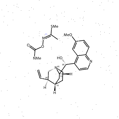 C=C[C@H]1C[N@]2CC[C@H]1C[C@H]2[C@H](O)c1ccnc2ccc(OC)cc12.CNC(=O)O/N=C(\C)SC